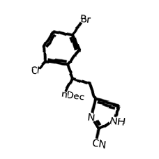 CCCCCCCCCCC(Cc1c[nH]c(C#N)n1)c1cc(Br)ccc1Cl